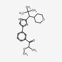 CON(C)C(=O)c1cccc(-c2c[nH]c(C(C3CCOCC3)C(C)(C)C)n2)c1